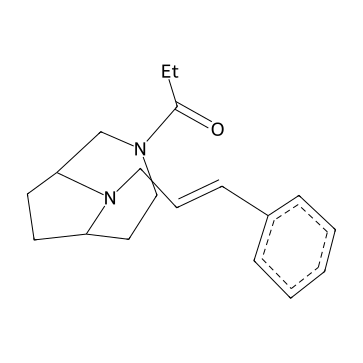 CCC(=O)N1CCC2CCC(C1)N2C/C=C/c1ccccc1